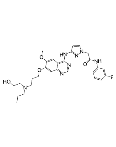 CCCN(CCO)CCCOc1cc2ncnc(Nc3ccn(CC(=O)Nc4cccc(F)c4)n3)c2cc1OC